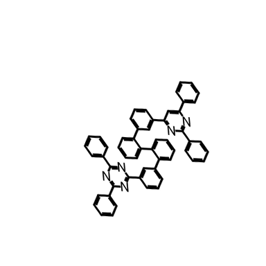 c1ccc(-c2cc(-c3cccc(-c4ccccc4-c4ccccc4-c4cccc(-c5nc(-c6ccccc6)nc(-c6ccccc6)n5)c4)c3)nc(-c3ccccc3)n2)cc1